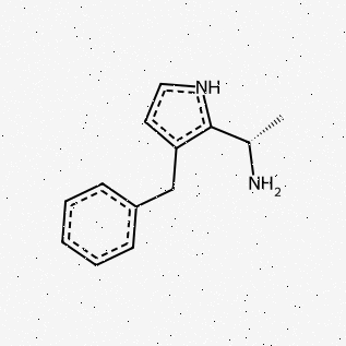 C[C@H](N)c1[nH]ccc1Cc1ccccc1